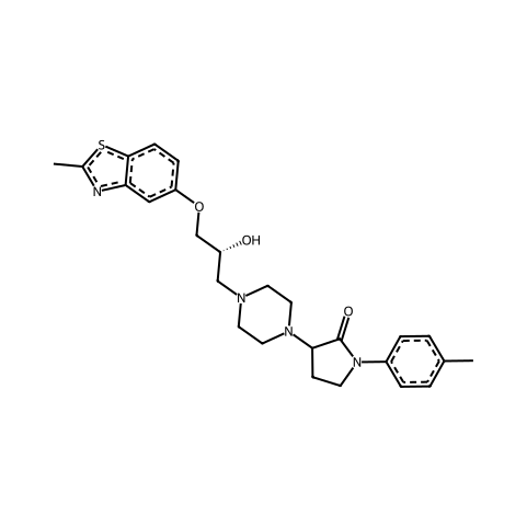 Cc1ccc(N2CCC(N3CCN(C[C@@H](O)COc4ccc5sc(C)nc5c4)CC3)C2=O)cc1